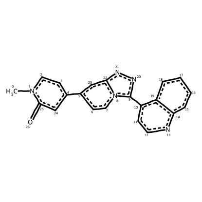 Cn1ccc(-c2ccn3c(-c4ccnc5ccccc45)nnc3c2)cc1=O